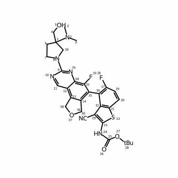 CN(C)C1(CO)CCN(c2ncc3c4c(c(-c5c(F)ccc6sc(NC(=O)OC(C)(C)C)c(C#N)c56)c(F)c3n2)COC4)C1